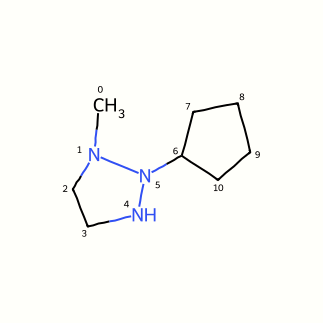 CN1CCNN1C1CCCC1